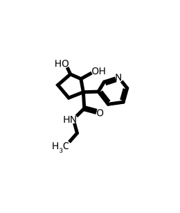 CCNC(=O)C1(c2cccnc2)CCC(O)C1O